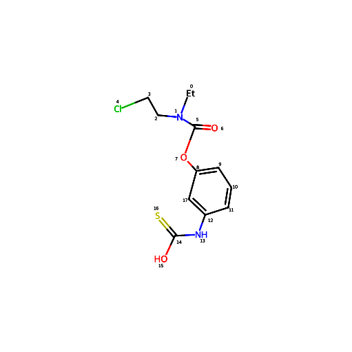 CCN(CCCl)C(=O)Oc1cccc(NC(O)=S)c1